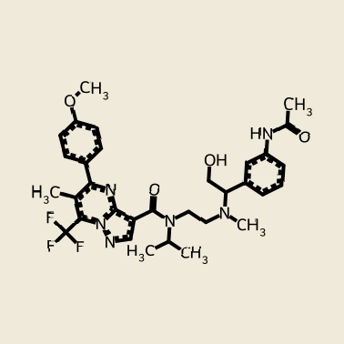 COc1ccc(-c2nc3c(C(=O)N(CCN(C)C(CO)c4cccc(NC(C)=O)c4)C(C)C)cnn3c(C(F)(F)F)c2C)cc1